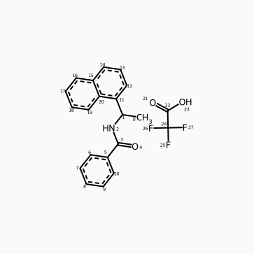 CC(NC(=O)c1ccccc1)c1cccc2ccccc12.O=C(O)C(F)(F)F